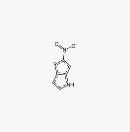 O=[N+]([O-])c1cc2[nH]ccc2s1